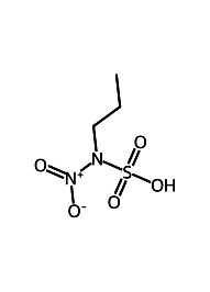 CCCN([N+](=O)[O-])S(=O)(=O)O